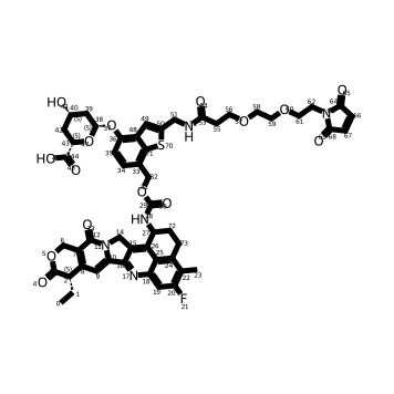 CC[C@@H]1C(=O)OCc2c1cc1n(c2=O)Cc2c-1nc1cc(F)c(C)c3c1c2C(NC(=O)OCc1ccc(O[C@H]2C[C@@H](O)C[C@@H](C(=O)O)O2)c2cc(CNC(=O)CCOCCOCCN4C(=O)C=CC4=O)sc12)CC3